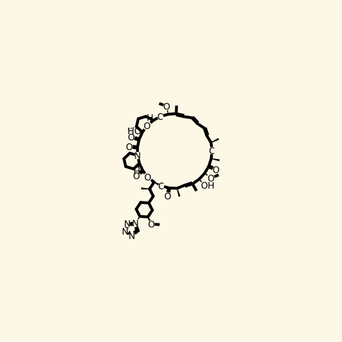 CO[C@H]1C[C@@H]2CC[C@@H](C)[C@@](O)(O2)C(=O)C(=O)N2CCCC[C@H]2C(=O)O[C@H]([C@H](C)CC2CC[C@@H](n3cnnn3)[C@H](OC)C2)CC(=O)[C@H](C)/C=C(\C)[C@@H](O)[C@@H](OC)C(=O)[C@H](C)C[C@H](C)/C=C/C=C/C=C/1C